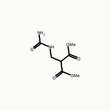 COC(=O)C(CNC(N)=O)C(=O)OC